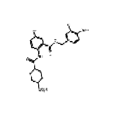 COc1ccc(CNC(=O)c2cc(Br)ccc2NC(=O)C2CCC(C(=O)O)CC2)cc1Cl